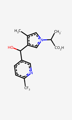 [CH2]C(C(=O)O)n1cc(C)c(C(O)c2ccc(C(F)(F)F)nc2)c1